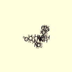 COc1cccc(CNc2ncccc2-c2nnc(Nc3ccc4c(c3)OCCO4)[nH]2)c1